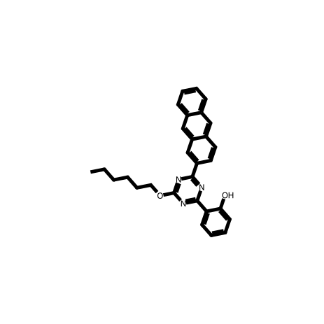 CCCCCCOc1nc(-c2ccc3cc4ccccc4cc3c2)nc(-c2ccccc2O)n1